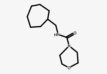 O=C(NCC1CCCCCC1)N1CCOCC1